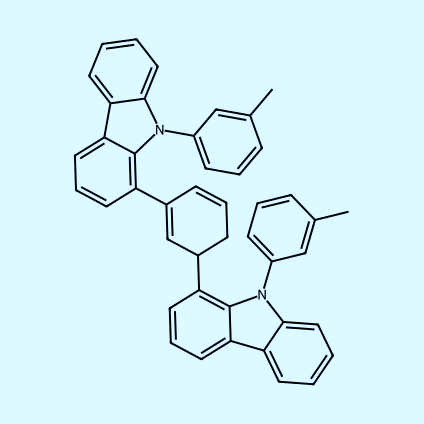 Cc1cccc(-n2c3ccccc3c3cccc(C4=CC(c5cccc6c7ccccc7n(-c7cccc(C)c7)c56)CC=C4)c32)c1